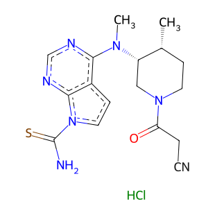 C[C@@H]1CCN(C(=O)CC#N)C[C@@H]1N(C)c1ncnc2c1ccn2C(N)=S.Cl